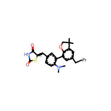 CC(C)Cc1cc(-c2cc(/C=C3\SC(=O)NC3=O)ccc2N(C)C)c2c(c1)C(C)(C)CO2